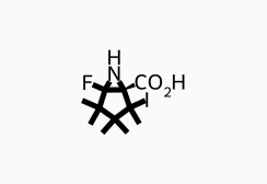 CC1(C)C(C)(C)C2(F)N[C@]2(C(=O)O)C1(C)I